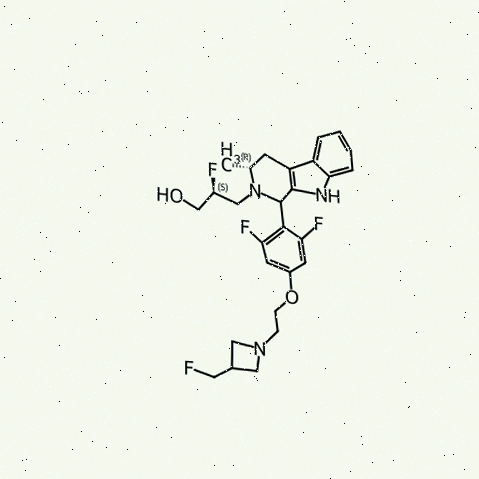 C[C@@H]1Cc2c([nH]c3ccccc23)C(c2c(F)cc(OCCN3CC(CF)C3)cc2F)N1C[C@H](F)CO